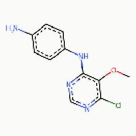 COc1c(Cl)ncnc1Nc1ccc(N)cc1